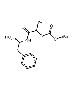 CC(C)[C@@H](NC(=O)OC(C)(C)C)C(=O)N[C@@H](Cc1ccccc1)C(=O)O